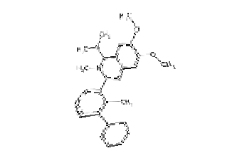 COc1cc2cc(-c3cccc(-c4ccccc4)c3C)[n+](C)c(N(C)C)c2cc1OC